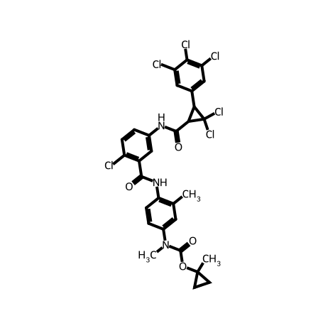 Cc1cc(N(C)C(=O)OC2(C)CC2)ccc1NC(=O)c1cc(NC(=O)C2C(c3cc(Cl)c(Cl)c(Cl)c3)C2(Cl)Cl)ccc1Cl